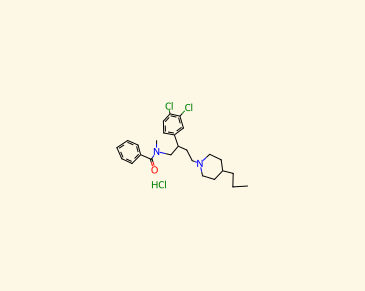 CCCC1CCN(CCC(CN(C)C(=O)c2ccccc2)c2ccc(Cl)c(Cl)c2)CC1.Cl